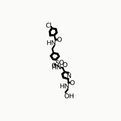 O=C(NCCc1ccc(S(=O)(=O)NC(=O)c2ccc(C(=O)NCCO)nc2)cc1)c1ccc(Cl)cc1